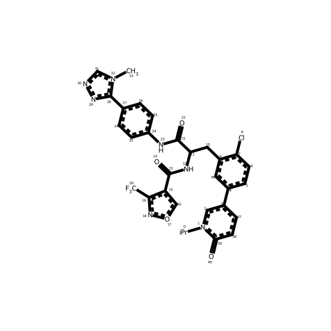 CC(C)n1cc(-c2ccc(Cl)c(CC(NC(=O)c3conc3C(F)(F)F)C(=O)Nc3ccc(-c4nncn4C)cc3)c2)ccc1=O